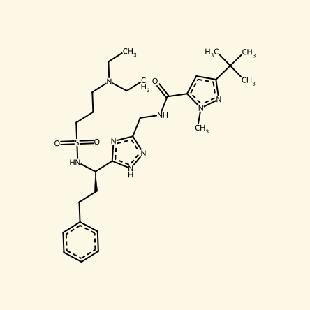 CCN(CC)CCCS(=O)(=O)N[C@H](CCc1ccccc1)c1nc(CNC(=O)c2cc(C(C)(C)C)nn2C)n[nH]1